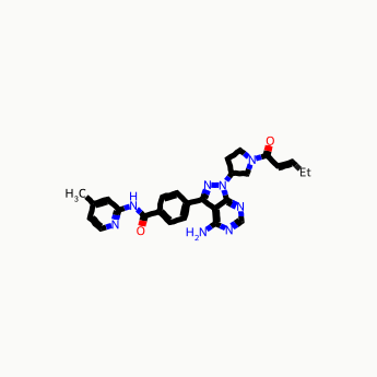 CCC=CC(=O)N1CCC(n2nc(-c3ccc(C(=O)Nc4cc(C)ccn4)cc3)c3c(N)ncnc32)C1